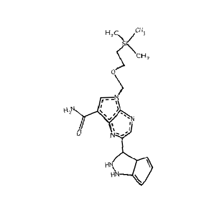 C[Si](C)(C)CCOCn1cc(C(N)=O)c2nc(C3NNC4=CC=CC43)cnc21